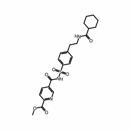 COC(=O)c1ccc(C(=O)NS(=O)(=O)c2ccc(CCNC(=O)C3CCCCC3)cc2)cn1